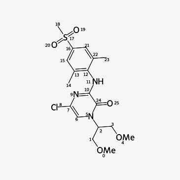 COCC(COC)n1cc(Cl)nc(Nc2c(C)cc(S(C)(=O)=O)cc2C)c1=O